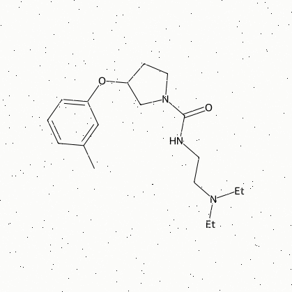 CCN(CC)CCNC(=O)N1CCC(Oc2cccc(C)c2)C1